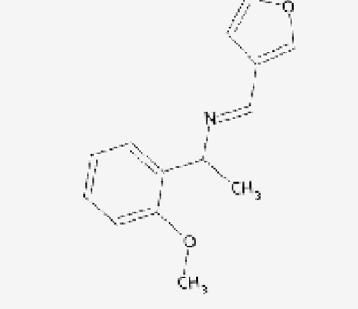 COc1ccccc1C(C)N=Cc1ccoc1